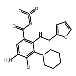 Nc1cc(C(=O)N=S(=O)=O)c(NCc2ccco2)c(N2CCCCC2)c1Cl